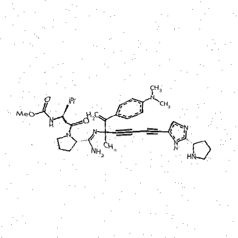 C=C(c1ccc(N(C)C)cc1)C(C)(C#CC#Cc1cnc([C@@H]2CCCN2)[nH]1)/N=C(\N)[C@@H]1CCCN1C(=O)[C@@H](NC(=O)OC)C(C)C